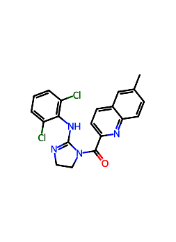 Cc1ccc2nc(C(=O)N3CCN=C3Nc3c(Cl)cccc3Cl)ccc2c1